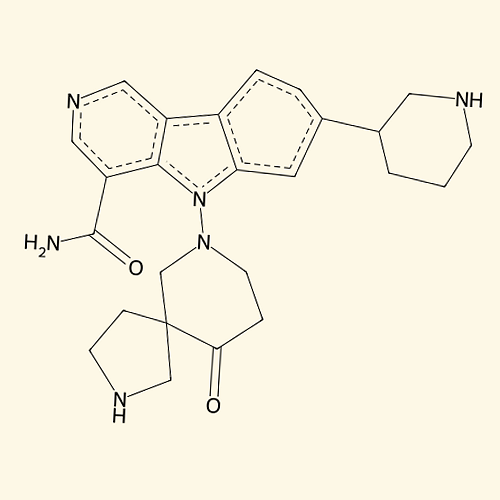 NC(=O)c1cncc2c3ccc(C4CCCNC4)cc3n(N3CCC(=O)C4(CCNC4)C3)c12